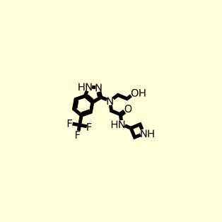 O=C(CN(CCO)c1n[nH]c2ccc(C(F)(F)F)cc12)NC1CNC1